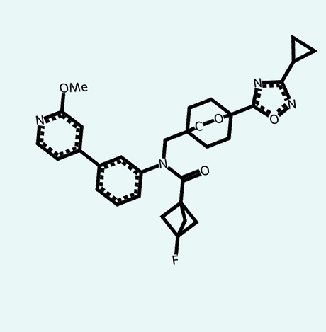 COc1cc(-c2cccc(N(CC34CCC(c5nc(C6CC6)no5)(CC3)OC4)C(=O)C34CC(F)(C3)C4)c2)ccn1